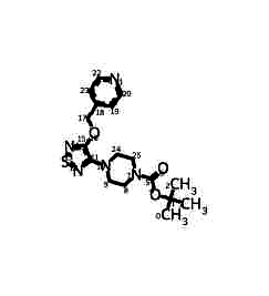 CC(C)(C)OC(=O)N1CCN(c2nsnc2OCc2ccncc2)CC1